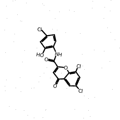 O=C(Nc1ccc(Cl)cc1O)c1cc(=O)c2cc(Cl)cc(Cl)c2o1